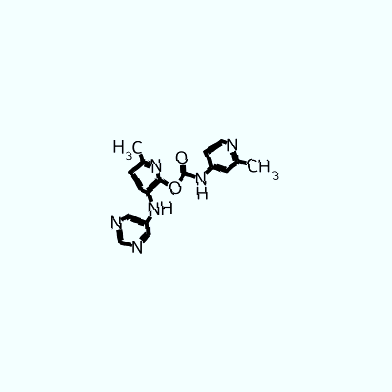 Cc1cc(NC(=O)Oc2nc(C)ccc2Nc2cncnc2)ccn1